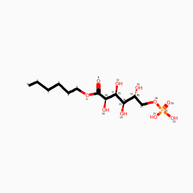 CCCCCCOC(=O)[C@H](O)[C@@H](O)[C@H](O)[C@H](O)COP(=O)(O)O